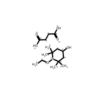 CCON1C(C)(C)CC(O)CC1(C)C.O=C(O)CCC(=O)O